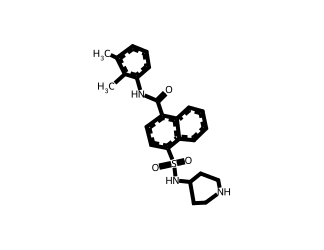 Cc1cccc(NC(=O)c2ccc(S(=O)(=O)NC3CCNCC3)c3ccccc23)c1C